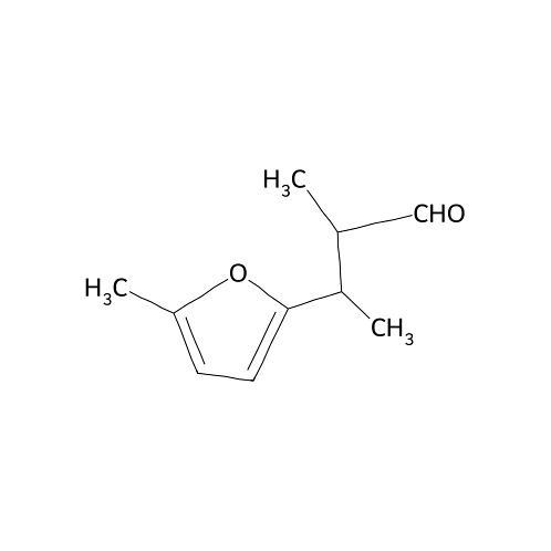 Cc1ccc(C(C)C(C)C=O)o1